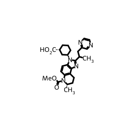 COC(=O)N1c2ccc3c(nc(C(C)Cc4cnccn4)n3[C@@H]3CCC[C@@H](C(=O)O)C3)c2CC[C@@H]1C